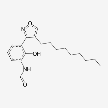 CCCCCCCCCc1conc1-c1cccc(NC=O)c1O